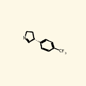 FC(F)(F)c1ccc([C@@H]2C=NCC2)cc1